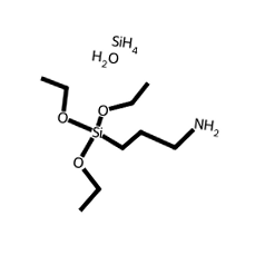 CCO[Si](CCCN)(OCC)OCC.O.[SiH4]